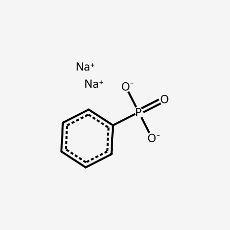 O=P([O-])([O-])c1ccccc1.[Na+].[Na+]